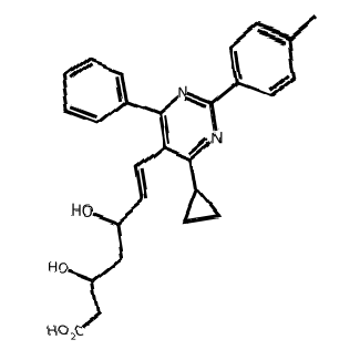 Cc1ccc(-c2nc(-c3ccccc3)c(/C=C/C(O)CC(O)CC(=O)O)c(C3CC3)n2)cc1